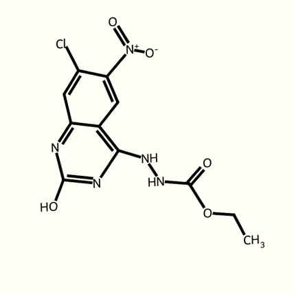 CCOC(=O)NNc1nc(O)nc2cc(Cl)c([N+](=O)[O-])cc12